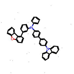 c1ccc(N(c2ccc(-c3ccc(-n4c5ccccc5c5ccccc54)cc3)cc2)c2cccc(-c3cccc4oc5ccccc5c34)c2)cc1